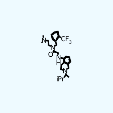 CC(C)C(C)N1CCc2c(cccc2NCC(=O)N(CCN(C)C)Cc2ccccc2C(F)(F)F)C1